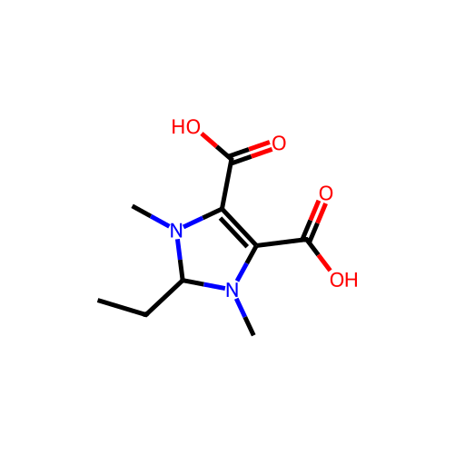 CCC1N(C)C(C(=O)O)=C(C(=O)O)N1C